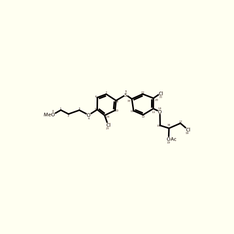 COCCCOc1ccc(Sc2ccc(OCC(CCl)OC(C)=O)c(Cl)c2)cc1Cl